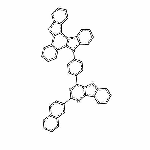 c1ccc2cc(-c3nc(-c4ccc(-n5c6ccccc6c6c7c8ccccc8sc7c7ccccc7c65)cc4)c4sc5ccccc5c4n3)ccc2c1